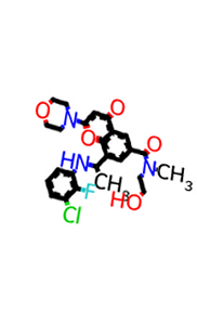 CC(Nc1cccc(Cl)c1F)c1cc(C(=O)N(C)CCO)cc2c(=O)cc(N3CCOCC3)oc12